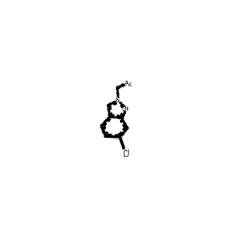 CC(=O)Cn1cc2ccc(Cl)cc2n1